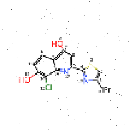 CC(C)c1csc(-c2cc(O)c3ccc(O)c(Cl)c3n2)n1